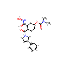 CN(C)C(=O)OC1CCC(C(=O)N2CC[C@H](c3ccccc3)C2)C(C(=O)NO)C1